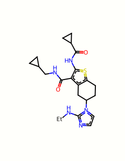 CCNc1nccn1C1CCc2sc(NC(=O)C3CC3)c(C(=O)NCC3CC3)c2C1